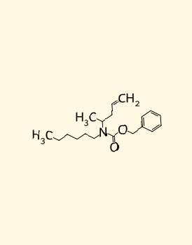 C=CCC(C)N(CCCCCC)C(=O)OCc1ccccc1